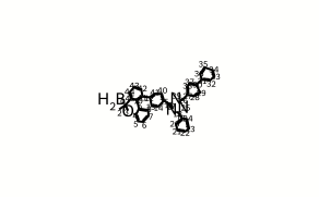 BC1(C)Oc2ccccc2-c2c(-c3ccc(-c4nc(-c5ccccc5)nc(-c5ccc(-c6ccccc6)cc5)n4)cc3)cccc21